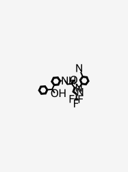 N#Cc1cccc(-n2nc(C(F)(F)F)cc2C(=O)CNc2cccc(C(O)c3ccccc3)c2)c1